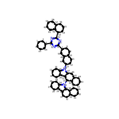 c1ccc(-c2nc(-c3ccc4ccc(-n5c6ccccc6c6c(-n7c8ccccc8c8ccc9ccccc9c87)c7ccccc7cc65)cc4c3)nc(-c3cccc4ccccc34)n2)cc1